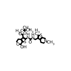 Cc1sc2c(c1CNC(=O)Nc1sc3c(c1C(=O)OC(C)(C)C)CCOC3O)CCN(C)C2